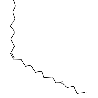 [CH2]CCCOCCCCCCCC/C=C\CCCCCCCC